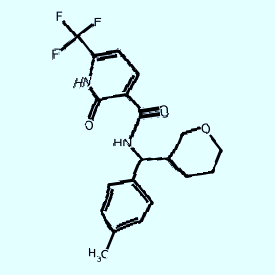 Cc1ccc(C(NC(=O)c2ccc(C(F)(F)F)[nH]c2=O)C2CCCOC2)cc1